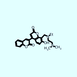 CCN(CCN(C)C)Cc1c(O)ccc2c(-c3cc4ccccc4oc3=O)cc(=O)oc12